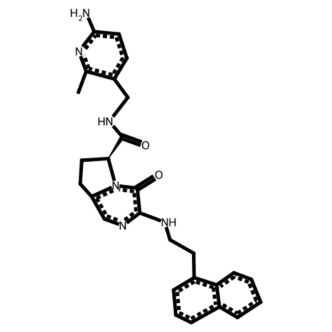 Cc1nc(N)ccc1CNC(=O)[C@@H]1CCc2cnc(NCCc3cccc4ccccc34)c(=O)n21